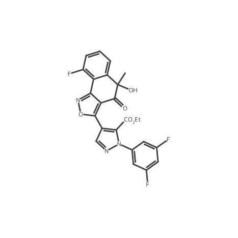 CCOC(=O)c1c(-c2onc3c2C(=O)C(C)(O)c2cccc(F)c2-3)cnn1-c1cc(F)cc(F)c1